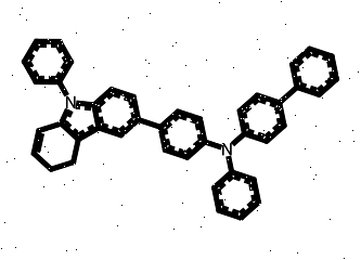 C1=Cc2c(c3cc(-c4ccc(N(c5ccccc5)c5ccc(-c6ccccc6)cc5)cc4)ccc3n2-c2ccccc2)CC1